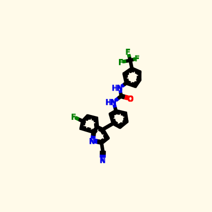 N#Cc1cc(-c2cccc(NC(=O)Nc3cccc(C(F)(F)F)c3)c2)c2ccc(F)cc2n1